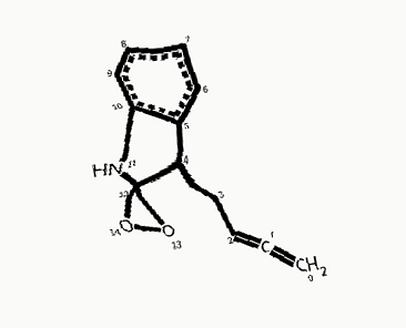 C=C=CCC1c2ccccc2NC12OO2